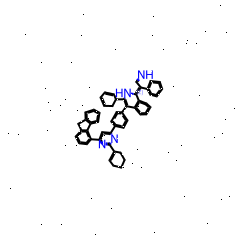 N=C/C(=C1\NC(C2C=CC=CC2)=C(c2ccc(-c3cc(-c4cccc5c4-c4ccccc4C5)nc(C4=CCCCC4)n3)cc2)c2ccccc21)c1ccccc1